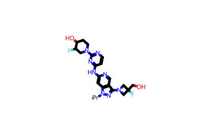 CC(C)n1nc(N2CC(F)(CO)C2)c2cnc(Nc3ccnc(N4CCC(O)C(F)C4)n3)cc21